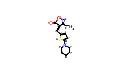 CC1=NOC(=O)/C1=C/c1ccc(N2CCCCC2)s1